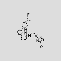 CC(CF)N1CCC(c2cccc(Cl)c2NC(=O)N2CCC(C)(c3noc(C4CC4)n3)CC2)CC1